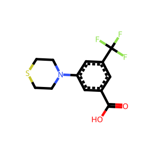 O=C(O)c1cc(N2CCSCC2)cc(C(F)(F)F)c1